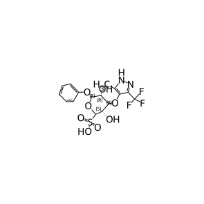 Cc1[nH]nc(C(F)(F)F)c1O[C@@H]1[C@@H](O)[C@H](Oc2ccccc2)OC(S(=O)(=O)O)[C@H]1O